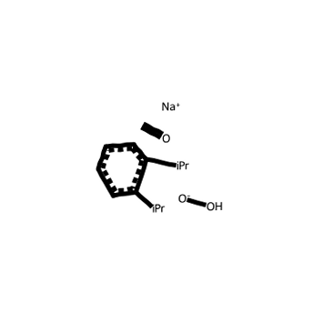 C=O.CC(C)c1ccccc1C(C)C.[Na+].[O-]O